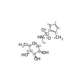 Cc1ccsc1S(=O)(=O)NC[C@H]1OC(C)[C@@H](O)C(O)C1O